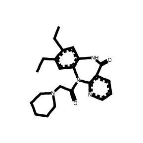 CCc1cc2c(cc1CC)N(C(=O)CN1CCCCC1)c1ncccc1C(=O)N2